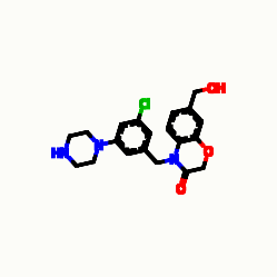 O=C1COc2cc(CO)ccc2N1Cc1cc(Cl)cc(N2CCNCC2)c1